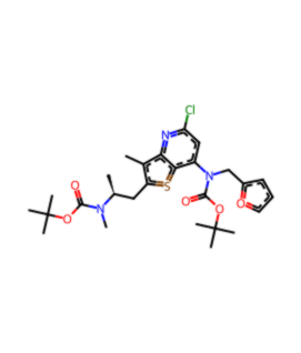 Cc1c(C[C@H](C)N(C)C(=O)OC(C)(C)C)sc2c(N(Cc3ccco3)C(=O)OC(C)(C)C)cc(Cl)nc12